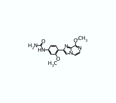 COc1cc(NC(N)=O)ccc1-c1cn2ccnc(OC)c2n1